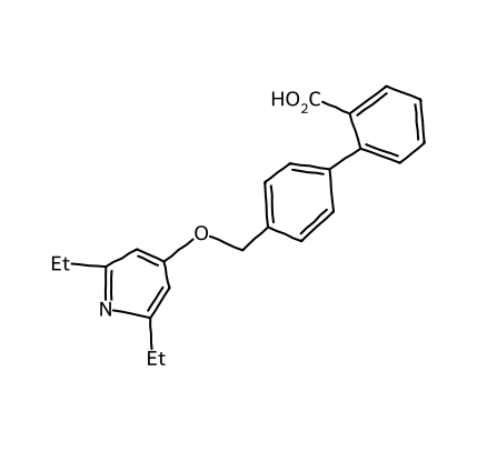 CCc1cc(OCc2ccc(-c3ccccc3C(=O)O)cc2)cc(CC)n1